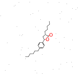 CCCCCCc1ccc(C2CC(CCCCC)C(=O)O2)cc1